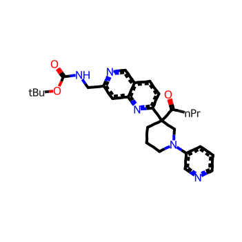 CCCC(=O)C1(c2ccc3cnc(CNC(=O)OC(C)(C)C)cc3n2)CCCN(c2cccnc2)C1